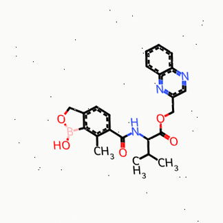 Cc1c(C(=O)NC(C(=O)OCc2cnc3ccccc3n2)C(C)C)ccc2c1B(O)OC2